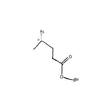 CC(=O)[C@@H](C)CCC(=O)OC(C)(C)C